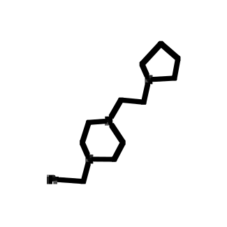 CC(C)CN1CCN(CCN2CCCC2)CC1